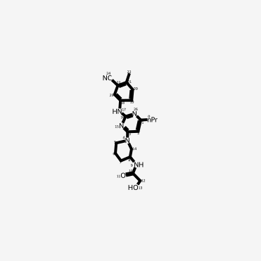 CCCc1cc(N2CCCC(NC(=O)CO)C2)nc(Nc2ccc(C)c(C#N)c2)n1